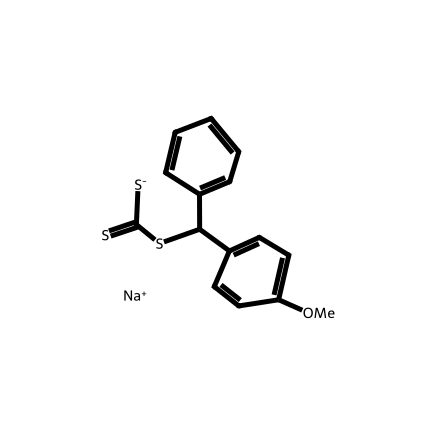 COc1ccc(C(SC(=S)[S-])c2ccccc2)cc1.[Na+]